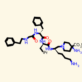 CC(C)C[C@@H](NC(=O)[C@@H](Cc1ccccc1)NC(=O)CNCCc1ccccc1)C(=O)N[C@H](CCCCN)CN1CCC(N)(C(=O)O)CC1